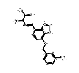 CC(NCc1ccc(OCc2cccc([N+](=O)[O-])c2)c2c1OCO2)C(N)=O